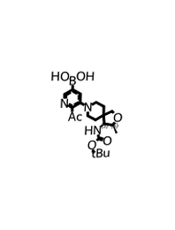 CC(=O)c1ncc(B(O)O)cc1N1CCC2(CC1)CO[C@@H](C)[C@H]2NC(=O)OC(C)(C)C